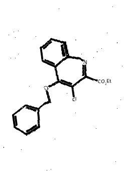 CCOC(=O)c1nc2ccccc2c(OCc2ccccc2)c1Cl